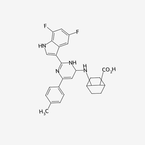 Cc1ccc(C2=CC(NC3C4CCC(CC4)C3C(=O)O)NC(c3c[nH]c4c(F)cc(F)cc34)=N2)cc1